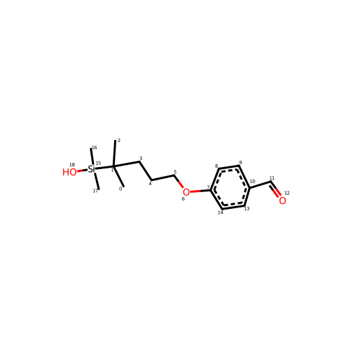 CC(C)(CCCOc1ccc(C=O)cc1)[Si](C)(C)O